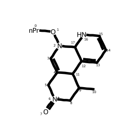 CCCON1C=C2C[N+](=O)CC(C)C2C2=CC=CNC21